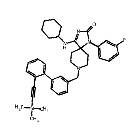 C[Si](C)(C)C#Cc1ccccc1-c1cccc(CN2CCC3(CC2)C(NC2CCCCC2)=NC(=O)N3c2cccc(F)c2)c1